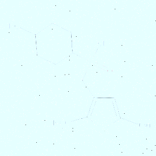 CC1CCC(P(C)(=O)Cc2cc(C(C)(C)C)sc2C(=O)O)CC1